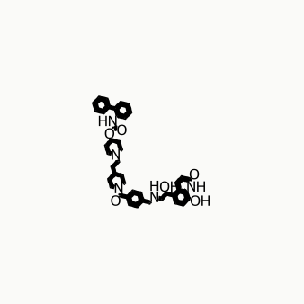 O=C(Nc1ccccc1-c1ccccc1)OC1CCN(CCC2CCN(C(=O)c3ccc(CNC[C@@H](O)c4ccc(O)c5[nH]c(=O)ccc45)cc3)CC2)CC1